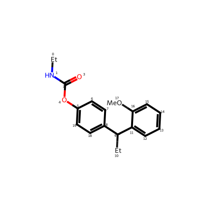 CCNC(=O)Oc1ccc([C](CC)c2ccccc2OC)cc1